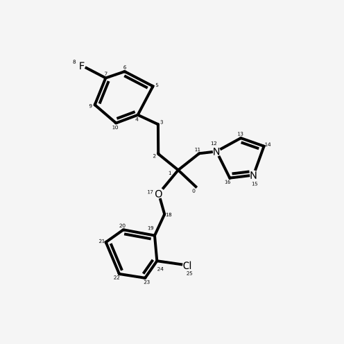 CC(CCc1ccc(F)cc1)(Cn1ccnc1)OCc1ccccc1Cl